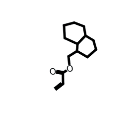 C=CC(=O)OCC1CCCC2CCCCC21